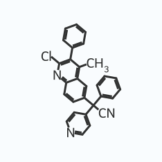 Cc1c(-c2ccccc2)c(Cl)nc2ccc(C(C#N)(c3ccccc3)c3ccncc3)cc12